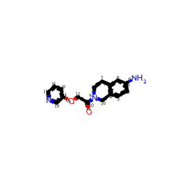 Nc1ccc2c(c1)CCN(C(=O)COc1cccnc1)C2